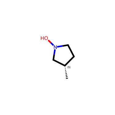 C[C@H]1CCN(O)C1